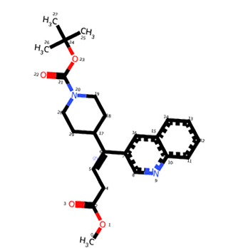 COC(=O)C/C=C(\c1cnc2ccccc2c1)C1CCN(C(=O)OC(C)(C)C)CC1